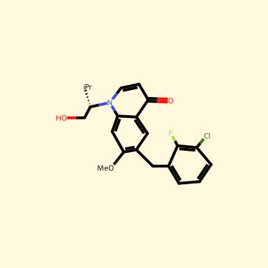 COc1cc2c(cc1Cc1cccc(Cl)c1F)c(=O)ccn2[C@H](CO)C(C)C